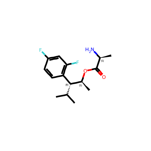 CC(C)[C@H](c1ccc(F)cc1F)[C@H](C)OC(=O)[C@H](C)N